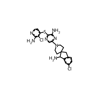 Nc1nc(N2CCC3(CC2)Cc2ccc(Cl)cc2C3N)cnc1Sc1ccnc(N)c1Cl